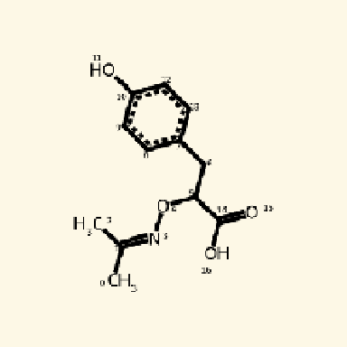 CC(C)=NOC(Cc1ccc(O)cc1)C(=O)O